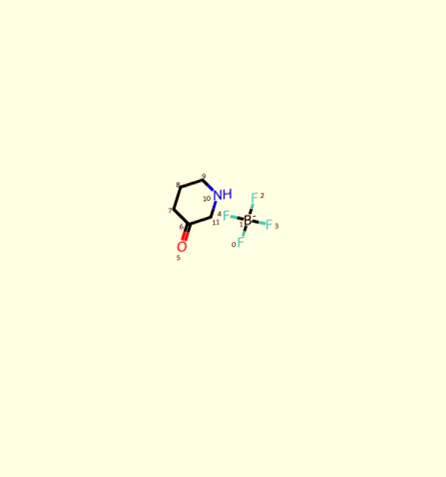 F[B-](F)(F)F.O=C1CCCNC1